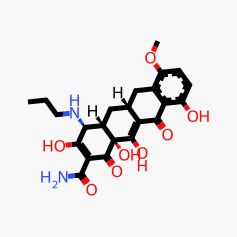 CCCN[C@@H]1C(O)=C(C(N)=O)C(=O)[C@@]2(O)C(O)=C3C(=O)c4c(O)ccc(OC)c4C[C@H]3C[C@@H]12